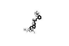 CC1(C)C=Cc2c(ccc3cc(C(=O)/C=C/c4ccccc4OC(F)(F)F)oc23)O1